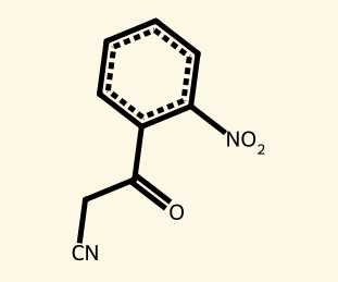 N#CCC(=O)c1ccccc1[N+](=O)[O-]